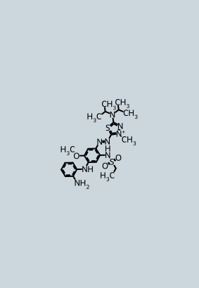 CCS(=O)(=O)Nc1cc(Nc2ccccc2N)c(OC)cc1/N=N/c1sc(N(C(C)C)C(C)C)n[n+]1C